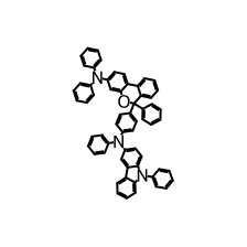 c1ccc(N(c2ccccc2)c2ccc3c(c2)OC(c2ccccc2)(c2ccc(N(c4ccccc4)c4ccc5c(c4)c4ccccc4n5-c4ccccc4)cc2)c2ccccc2-3)cc1